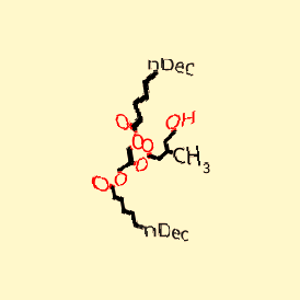 CCCCCCCCCCCCCCCC(=O)OCC(COC(=O)CCCCCCCCCCCCCCC)OC(=O)CC(C)CCO